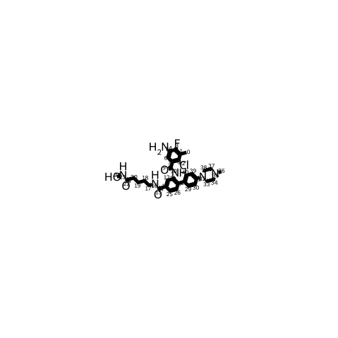 Cc1c(F)c(N)cc(C(=O)Nc2cc(C(=O)NCCCCC(=O)NO)ccc2-c2ccc(N3CCN(C)CC3)cc2)c1Cl